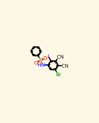 N#Cc1c(Br)cc(NS(=O)(=O)c2ccccc2)c(I)c1C#N